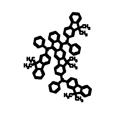 CC1(C)c2ccccc2-c2ccc(N(c3ccccc3)c3ccc4c(c3)C(C)(C)c3cc5c(N(c6ccccc6)c6ccc7c(c6)C(C)(C)c6ccccc6-7)c6ccccc6c(N(c6ccccc6)c6ccc7c(c6)C(C)(C)c6ccccc6-7)c5cc3-4)cc21